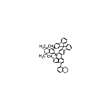 CC1(C)CCC(C)(C)c2cc(N(c3ccccc3)c3cc4c(cc3-c3ccc(-c5cccc6c5CCCC6)cc3)-c3ccccc3C43c4ccccc4-c4ccccc43)ccc21